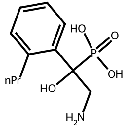 CCCc1ccccc1C(O)(CN)P(=O)(O)O